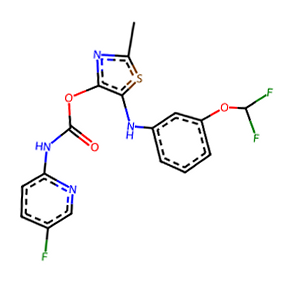 Cc1nc(OC(=O)Nc2ccc(F)cn2)c(Nc2cccc(OC(F)F)c2)s1